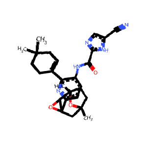 CC1(C)CC=C(c2nc(C34CC5(C)CCC(C)(O5)C3O4)ccc2NC(=O)c2ncc(C#N)[nH]2)CC1